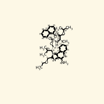 CCOCc1nc2c(N)nc3ccccc3c2n1[C@@H](CO[P@@](=O)(N[C@@H](C)C(=O)OC(C)C)Oc1cccc2ccccc12)C(C)C